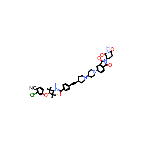 CC1(C)[C@H](NC(=O)c2ccc(C#CC3CCN(C4CCN(c5ccc6c(c5)C(=O)N(C5CCC(=O)NC5=O)C6=O)CC4)CC3)cc2)C(C)(C)[C@H]1Oc1ccc(C#N)c(Cl)c1